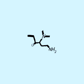 CCC(=O)C(CCN)N(C)C